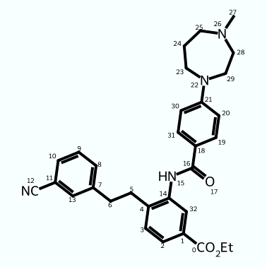 CCOC(=O)c1ccc(CCc2cccc(C#N)c2)c(NC(=O)c2ccc(N3CCCN(C)CC3)cc2)c1